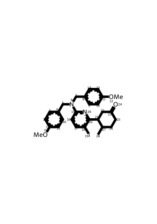 COc1ccc(CN(Cc2ccc(OC)cc2)c2ccc(I)c(C3CC(=O)CCC3C)n2)cc1